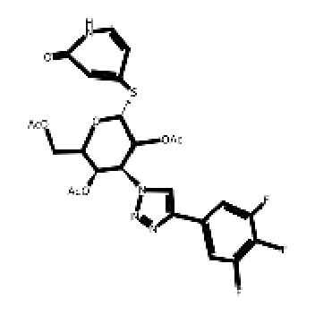 CC(=O)OCC1O[C@H](Sc2cc[nH]c(=O)c2)C(OC(C)=O)[C@@H](n2cc(-c3cc(F)c(F)c(F)c3)nn2)[C@H]1OC(C)=O